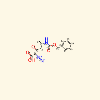 C[C@H](CC(=O)C(=[N+]=[N-])C(=O)O)NC(=O)OCc1ccccc1